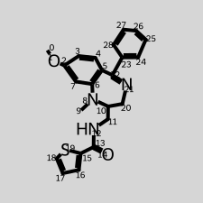 COc1ccc2c(c1)N(C)C(CNC(=O)c1cccs1)CN=C2c1ccccc1